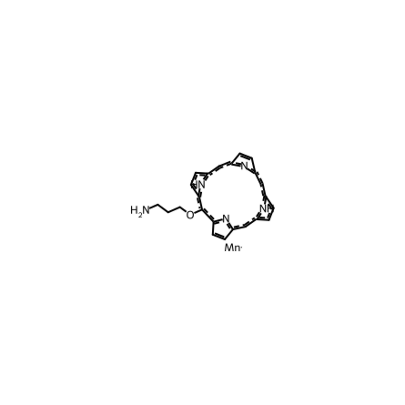 NCCCOc1c2nc(cc3ccc(cc4nc(cc5ccc1[nH]5)C=C4)[nH]3)C=C2.[Mn]